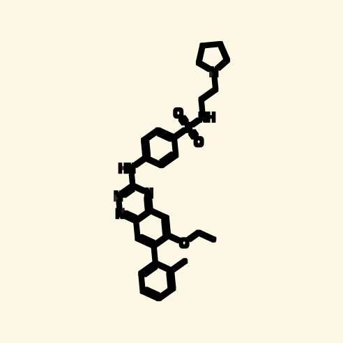 CCOc1cc2nc(Nc3ccc(S(=O)(=O)NCCN4CCCC4)cc3)nnc2cc1-c1ccccc1C